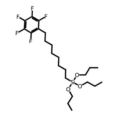 CCCO[Si](CCCCCCCCc1c(F)c(F)c(F)c(F)c1F)(OCCC)OCCC